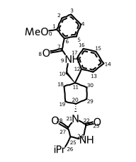 COc1ccccc1C(=O)NC[C@]1(c2ccccc2)CC[C@@H](N2C(=O)NC(C(C)C)C2=O)CC1